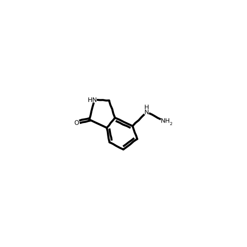 NNc1cccc2c1CNC2=O